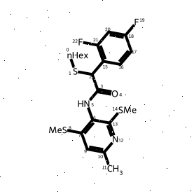 CCCCCCSC(C(=O)Nc1c(SC)cc(C)nc1SC)c1ccc(F)cc1F